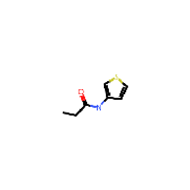 CCC(=O)[N]c1ccsc1